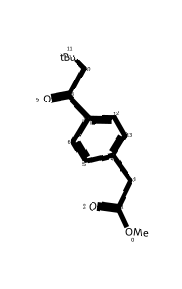 COC(=O)Cc1ccc(C(=O)CC(C)(C)C)cc1